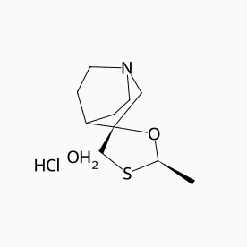 C[C@@H]1O[C@@]2(CS1)CN1CCC2CC1.Cl.O